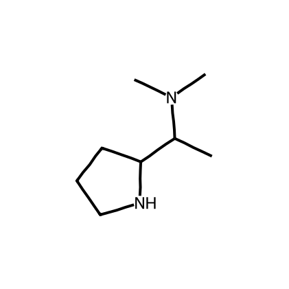 CC(C1CCCN1)N(C)C